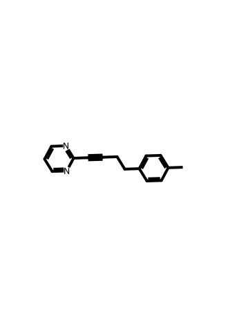 Cc1ccc(CCC#Cc2ncccn2)cc1